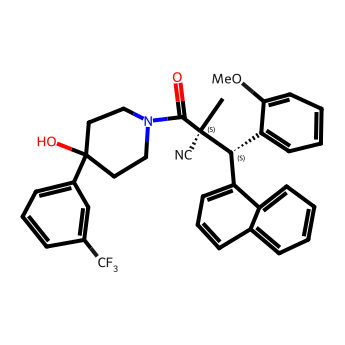 COc1ccccc1[C@H](c1cccc2ccccc12)[C@@](C)(C#N)C(=O)N1CCC(O)(c2cccc(C(F)(F)F)c2)CC1